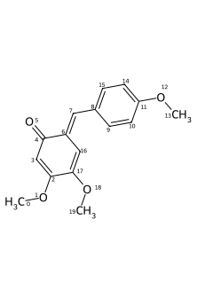 COC1=CC(=O)C(=Cc2ccc(OC)cc2)C=C1OC